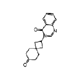 O=C1CCC2(CC1)CC(n1cnc3ccccc3c1=O)C2